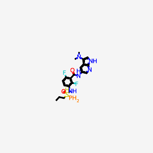 CCC[SH](=O)(P)Nc1ccc(F)c(C(=O)Nc2cnc3[nH]cc(N(C)C)c3c2)c1F